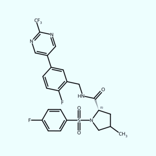 CC1C[C@@H](C(=O)NCc2cc(-c3cnc(C(F)(F)F)nc3)ccc2F)N(S(=O)(=O)c2ccc(F)cc2)C1